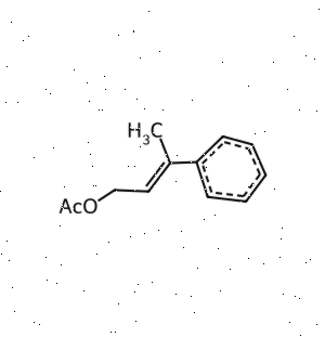 CC(=O)OCC=C(C)c1ccccc1